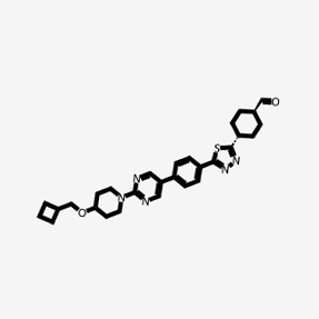 O=C[C@H]1CC[C@H](c2nnc(-c3ccc(-c4cnc(N5CCC(OCC6CCC6)CC5)nc4)cc3)s2)CC1